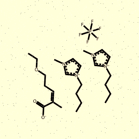 CCCC[n+]1ccn(C)c1.CCCC[n+]1ccn(C)c1.CCOCCC=C(C)C(=O)[O-].F[P-](F)(F)(F)(F)F